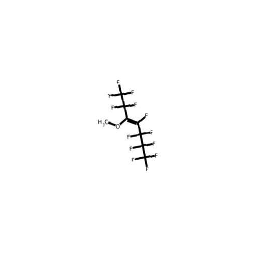 COC(=C(F)C(F)(F)C(F)(F)C(F)(F)F)C(F)(F)C(F)(F)F